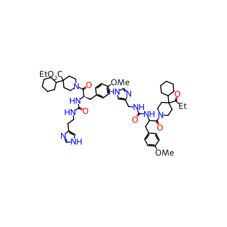 CCC(=O)C1(C2CCCCC2)CCN(C(=O)C(Cc2ccc(OC)cc2)NC(=O)NCc2c[nH]cn2)CC1.CCOC(=O)C1(C2CCCCC2)CCN(C(=O)[C@@H](Cc2ccc(OC)cc2)NC(=O)NCCc2c[nH]cn2)CC1